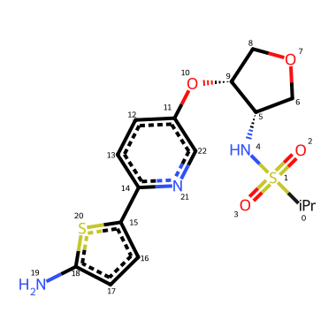 CC(C)S(=O)(=O)N[C@H]1COC[C@H]1Oc1ccc(-c2ccc(N)s2)nc1